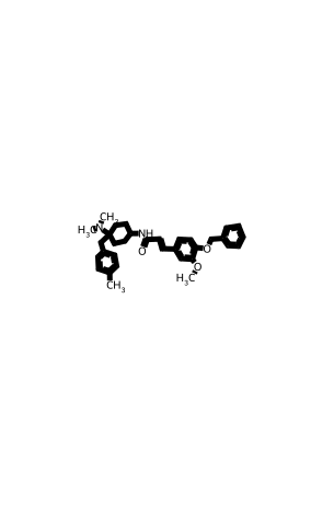 COc1cc(C=CC(=O)NC2CCC(Cc3ccc(C)cc3)(N(C)C)CC2)ccc1OCc1ccccc1